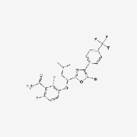 [CH2]C([CH2])CC(Oc1ccc(F)c(C(N)=O)c1F)c1nc(-c2ccc(C(F)(F)F)cc2)c(Br)o1